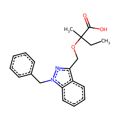 CCC(C)(OCc1nn(Cc2ccccc2)c2ccccc12)C(=O)O